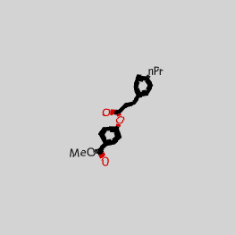 CCCc1ccc(CCC(=O)Oc2ccc(C(=O)OC)cc2)cc1